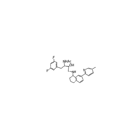 CC(=O)NC(Cc1cc(F)cc(F)c1)C(O)CNC1CCCc2ccc(-c3ccc(C)cn3)cc21